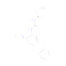 COC(=O)NC(=S)Nc1cc([S+]([O-])c2ccccc2)ccc1N